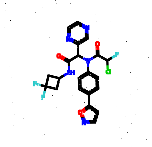 O=C(NC1CC(F)(F)C1)C(c1cnccn1)N(C(=O)C(F)Cl)c1ccc(-c2ccno2)cc1